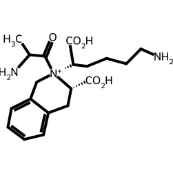 CC(N)C(=O)[N@+]1(C(CCCCN)C(=O)O)Cc2ccccc2C[C@H]1C(=O)O